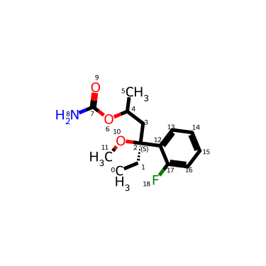 CC[C@@](CC(C)OC(N)=O)(OC)c1ccccc1F